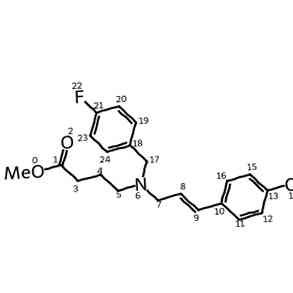 COC(=O)CCCN(CC=Cc1ccc(Cl)cc1)Cc1ccc(F)cc1